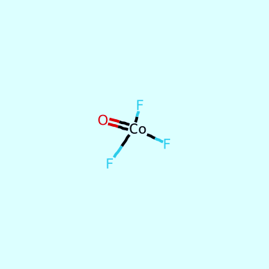 [O]=[Co]([F])([F])[F]